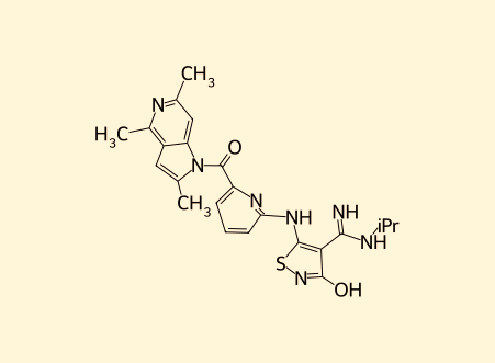 Cc1cc2c(cc(C)n2C(=O)c2cccc(Nc3snc(O)c3C(=N)NC(C)C)n2)c(C)n1